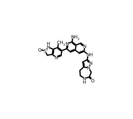 Cc1c(-c2cc3cc(Nc4cc5n(n4)CC(=O)NCC5)ncc3c(N)n2)cnc2c1N[S+]([O-])C2